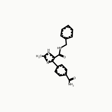 Cc1nc(-c2ccc(C(N)=O)cc2)c(C(=O)NCc2ccccc2)[nH]1